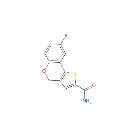 NC(=O)c1cc2c(s1)-c1cc(Br)ccc1OC2